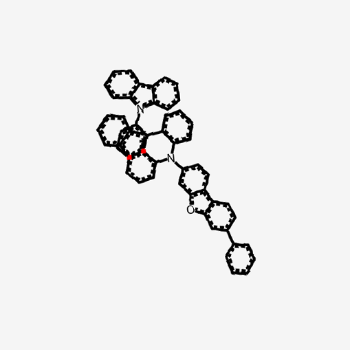 c1ccc(-c2ccc3c(c2)oc2cc(N(c4ccccc4-c4ccccc4-n4c5ccccc5c5ccccc54)c4cccc5c4sc4ccccc45)ccc23)cc1